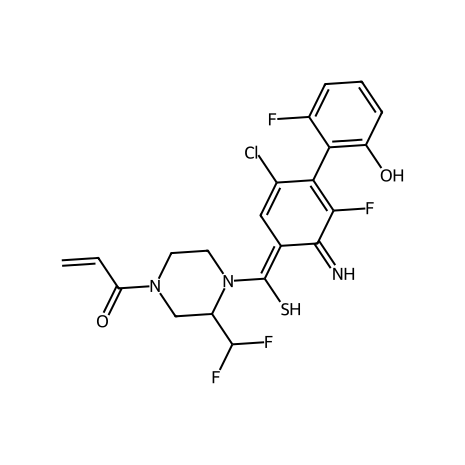 C=CC(=O)N1CCN(/C(S)=C2\C=C(Cl)C(c3c(O)cccc3F)=C(F)C2=N)C(C(F)F)C1